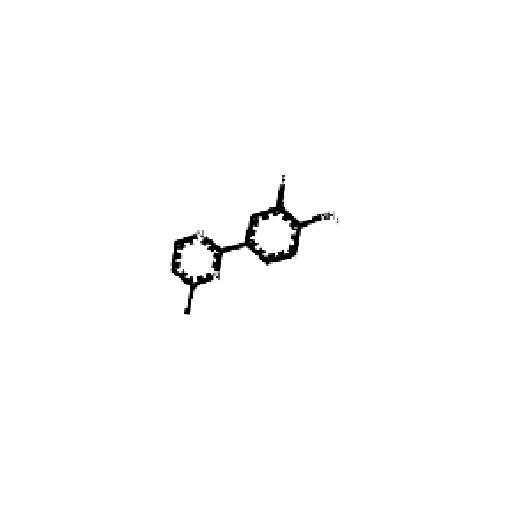 Cc1ccnc(-c2ccc(N)c(F)c2)n1